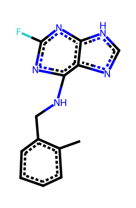 Cc1ccccc1CNc1nc(F)nc2[nH]cnc12